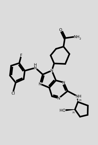 NC(=O)C1CCC(n2c(Nc3cc(Cl)ccc3F)nc3cnc(N[C@@H]4CCC[C@H]4O)nc32)CC1